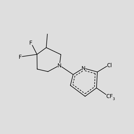 CC1CN(c2ccc(C(F)(F)F)c(Cl)n2)CCC1(F)F